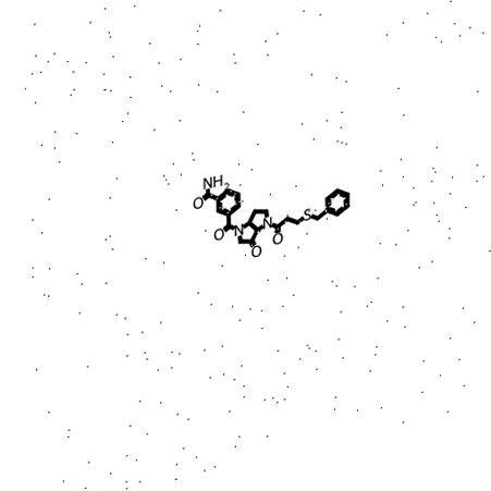 NC(=O)c1cccc(C(=O)N2CC(=O)C3C2CCN3C(=O)[CH]CSCc2ccccc2)c1